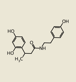 CC(CC(=O)NCCc1ccc(O)cc1)c1ccc(O)cc1O